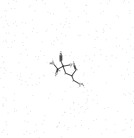 CCC(C=O)CC(Cl)(C#N)C(=O)O